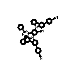 N#Cc1ccc(-c2ccc3c(c2)c2ccccc2n3-c2cc(-c3nc(-c4ccccc4)nc(-c4ccccc4)n3)c(-n3c4ccccc4c4cc(-c5ccc(C#N)cc5)ccc43)cc2C#N)cc1